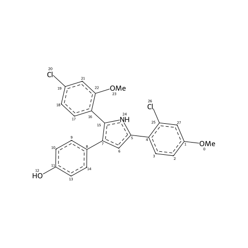 COc1ccc(-c2cc(-c3ccc(O)cc3)c(-c3ccc(Cl)cc3OC)[nH]2)c(Cl)c1